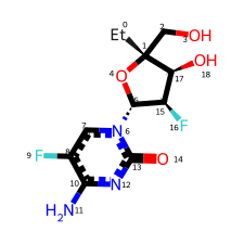 CC[C@]1(CO)O[C@@H](n2cc(F)c(N)nc2=O)[C@H](F)[C@@H]1O